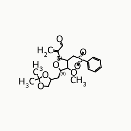 C=C(C=O)[C@@H]1O[C@H](CC2COC(C)(C)O2)C(OC)C1CS(=O)(=O)c1ccccc1